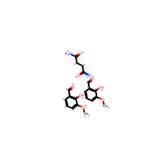 COc1cccc(C=O)c1O.COc1cccc(C=O)c1O.NC(=O)CCC(N)=O